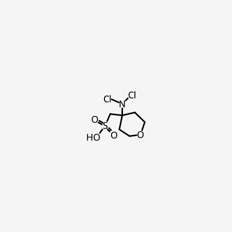 O=S(=O)(O)CC1(N(Cl)Cl)CCOCC1